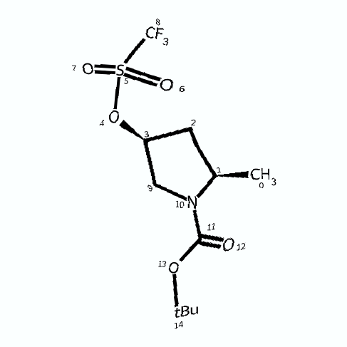 C[C@@H]1C[C@H](OS(=O)(=O)C(F)(F)F)CN1C(=O)OC(C)(C)C